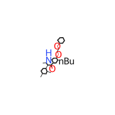 CCCCc1cc2c(=O)c(-c3ccc(C)cc3C)c(C)[nH]c2cc1OCCOc1ccccc1